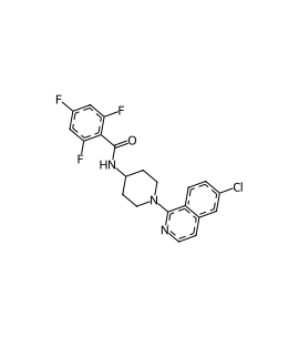 O=C(NC1CCN(c2nccc3cc(Cl)ccc23)CC1)c1c(F)cc(F)cc1F